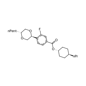 CCCCC[C@@H]1CO[C@@H](c2ccc(C(=O)O[C@H]3CC[C@H](CCC)CC3)cc2F)CO1